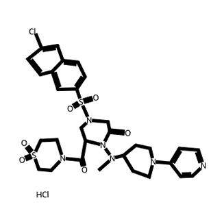 CN(C1CCN(c2ccncc2)CC1)N1C(=O)CN(S(=O)(=O)c2ccc3cc(Cl)ccc3c2)CC1C(=O)N1CCS(=O)(=O)CC1.Cl